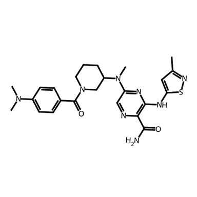 Cc1cc(Nc2nc(N(C)C3CCCN(C(=O)c4ccc(N(C)C)cc4)C3)cnc2C(N)=O)sn1